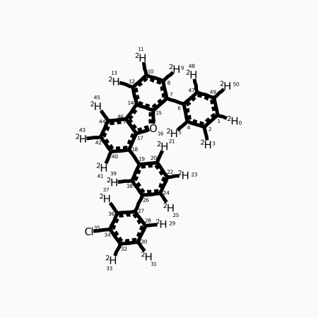 [2H]c1c([2H])c([2H])c(-c2c([2H])c([2H])c([2H])c3c2oc2c(-c4c([2H])c([2H])c([2H])c(-c5c([2H])c([2H])c([2H])c(Cl)c5[2H])c4[2H])c([2H])c([2H])c([2H])c23)c([2H])c1[2H]